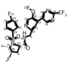 C[C@H]1[C@H](F)C[C@@H](C(=O)NCc2cc(-c3cnc(C(F)(F)F)nc3)c(OF)cn2)N1S(=O)(=O)c1ccc(F)cc1